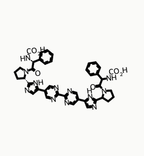 O=C(O)NC(C(=O)N1CCCC1c1ncc(-c2cnc(-c3ncc(-c4cnc([C@@H]5CCCN5C(=O)[C@H](NC(=O)O)c5ccccc5)[nH]4)cn3)nc2)[nH]1)c1ccccc1